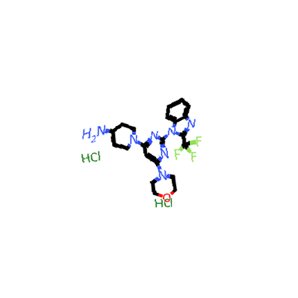 Cl.Cl.NC1CCN(c2cc(N3CCOCC3)nc(-n3c(C(F)(F)F)nc4ccccc43)n2)CC1